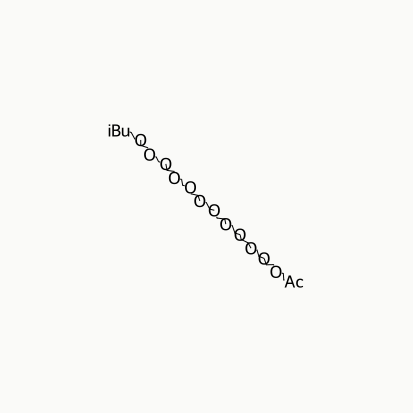 CCC(C)CCOCCOCCOCCOCCOCCOCCOCCOCCOCCOCCOCCOCCC(C)=O